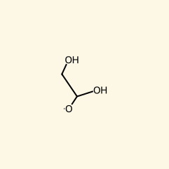 [O]C(O)CO